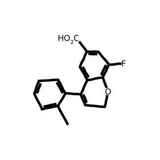 Cc1ccccc1C1=CCOc2c(F)cc(C(=O)O)cc21